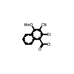 CCc1c(C#N)c(OC)c2ccccc2c1C(=O)Cl